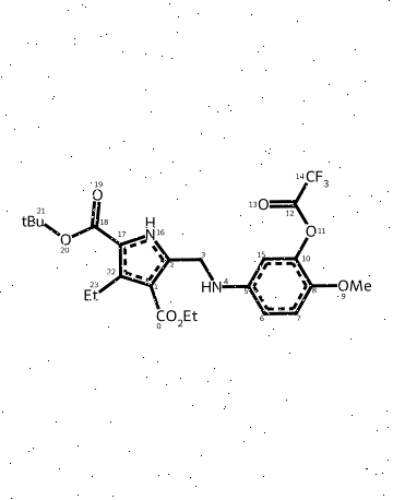 CCOC(=O)c1c(CNc2ccc(OC)c(OC(=O)C(F)(F)F)c2)[nH]c(C(=O)OC(C)(C)C)c1CC